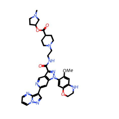 COc1cc2c(cc1-n1nc(C(=O)NCCN3CCC(C(=O)OC4CCN(C)C4)CC3)c3cnc(-c4cnn5cccnc45)cc31)OCCN2